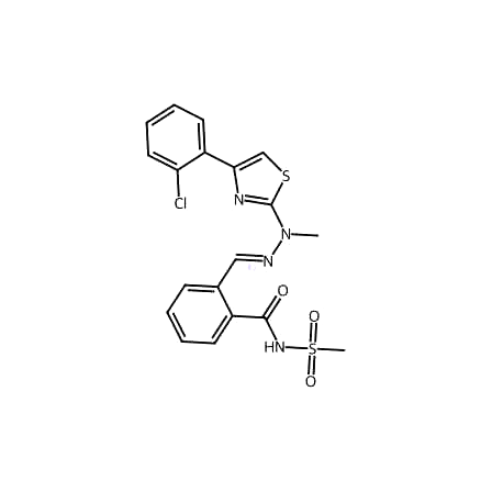 CN(/N=C/c1ccccc1C(=O)NS(C)(=O)=O)c1nc(-c2ccccc2Cl)cs1